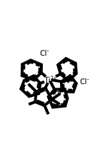 CC1=C(C)C(C)(C)[C]([Ti+2]([c]2ccccc2)([c]2ccccc2)([c]2ccccc2)([c]2ccccc2)[c]2ccc[pH]2)=C1C.[Cl-].[Cl-]